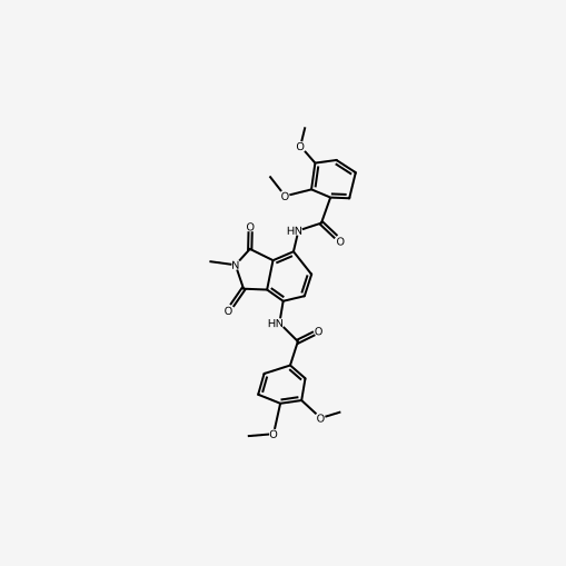 COc1ccc(C(=O)Nc2ccc(NC(=O)c3cccc(OC)c3OC)c3c2C(=O)N(C)C3=O)cc1OC